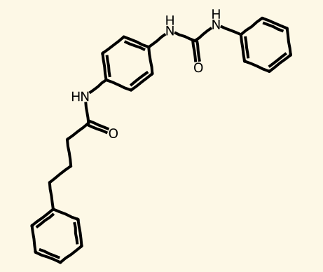 O=C(CCCc1ccccc1)Nc1ccc(NC(=O)Nc2ccccc2)cc1